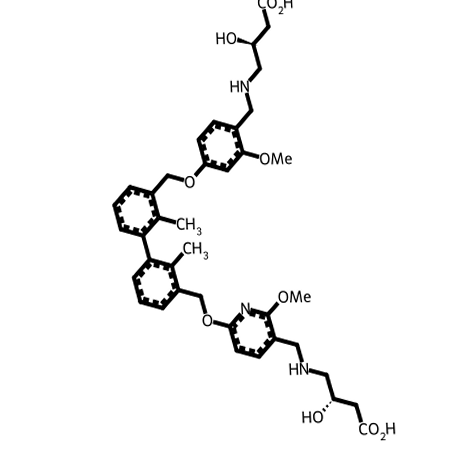 COc1cc(OCc2cccc(-c3cccc(COc4ccc(CNC[C@@H](O)CC(=O)O)c(OC)n4)c3C)c2C)ccc1CNC[C@@H](O)CC(=O)O